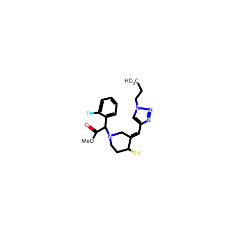 COC(=O)C(c1ccccc1F)N1CCC(S)C(=Cc2cn(CCC(=O)O)nn2)C1